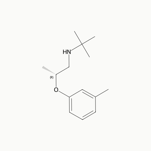 Cc1cccc(O[C@H](C)CNC(C)(C)C)c1